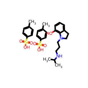 CC(C)NCCCN1CCc2cccc(O)c21.Cc1ccc(S(=O)(=O)O)cc1.Cc1ccc(S(=O)(=O)O)cc1